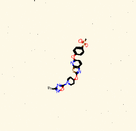 CC(C)c1noc(N2CCC(Oc3nc4ccc(Oc5ccc(S(C)(=O)=O)cc5)nc4s3)CC2)n1